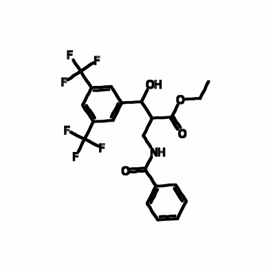 CCOC(=O)C(CNC(=O)c1ccccc1)C(O)c1cc(C(F)(F)F)cc(C(F)(F)F)c1